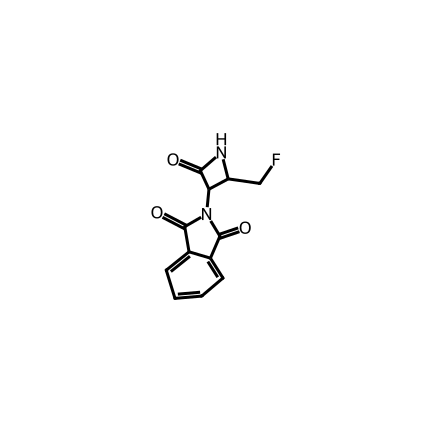 O=C1NC(CF)C1N1C(=O)c2ccccc2C1=O